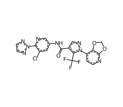 O=C(Nc1cnc(-n2nccn2)c(Cl)c1)c1cnn(-c2ccnc3c2OCO3)c1C(F)(F)F